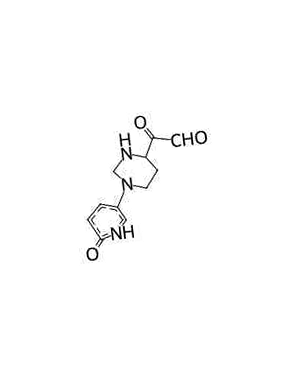 O=CC(=O)C1CCN(c2ccc(=O)[nH]c2)CN1